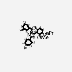 CCCOc1cccc(C2SC(c3ccc(F)cc3)=NN2C(=O)c2cccc(F)c2)c1OC